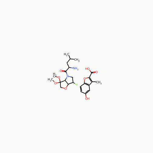 COC1(OC)COC2C(F)CN(C(=O)C(N)CC(C)C)C21.Cc1c(C(=O)O)oc2ccc(O)cc12